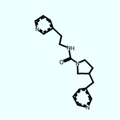 O=C(NCCc1cccnc1)N1CCC(Cc2cccnc2)C1